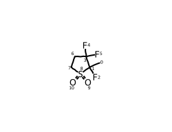 CC1(F)C(F)(F)CCS1(=O)=O